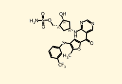 Cc1sc(C(=O)c2cncnc2N[C@@H]2C[C@H](COS(N)(=O)=O)[C@@H](O)C2)cc1Sc1cccc(C(F)(F)F)c1